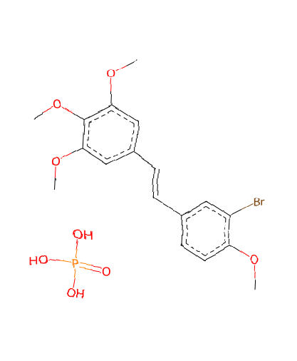 COc1ccc(C=Cc2cc(OC)c(OC)c(OC)c2)cc1Br.O=P(O)(O)O